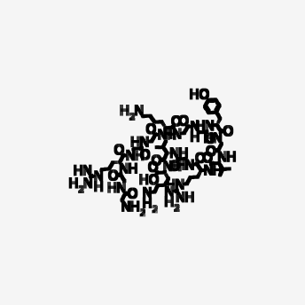 CC(C)[C@H](NC(=O)CNC(=O)[C@H](CCCNC(=N)N)NC(=O)[C@@H](NC(=O)CNC(=O)[C@H](Cc1ccc(O)cc1)NC(=O)CNC(=O)CNC(=O)[C@H](CCCCN)NC(=O)CNC(=O)CNC(=O)[C@H](CCCNC(=N)N)NC(=O)CNC(=O)CN)C(C)C)C(=O)N[C@@H](CCCCN)C(=O)O